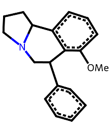 COc1cccc2c1C(c1ccccc1)CN1CCCC21